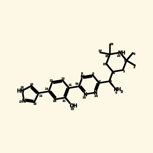 CC1(C)CC(C(N)c2cnc(-c3ccc(-c4cn[nH]c4)cc3O)nn2)CC(C)(C)N1